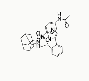 CC(=O)Nc1ccc(S(=O)(=O)NC23CC4CC(C2)C(C(O)CC2c5ccccc5-c5cncn52)C(C4)C3)cc1